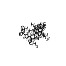 CCOC(=O)C1CCC(C2=C(OC)C=C3N=C(C)N=C(NC(C)c4cc(N)cc(C(F)(F)F)c4C)C3C2)C1